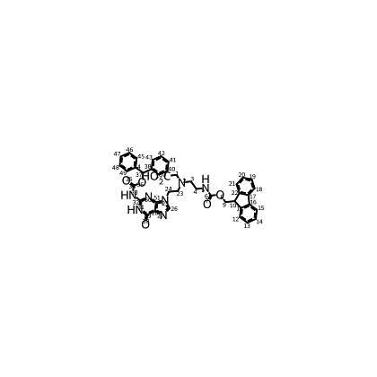 O=C(O)CN(CCNC(=O)OCC1c2ccccc2-c2ccccc21)CCn1cnc2c(=O)[nH]c(NC(=O)OC(c3ccccc3)c3ccccc3)nc21